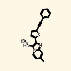 Cc1ccn2c(NC(C)(C)C)c(-c3ccc(C#Cc4ccccc4)s3)nc2c1